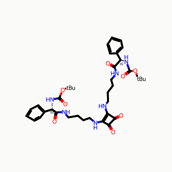 CC(C)(C)OC(=O)N[C@H](C(=O)NCCCCNc1c(NCCCCNC(=O)[C@@H](NC(=O)OC(C)(C)C)c2ccccc2)c(=O)c1=O)c1ccccc1